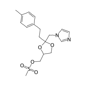 Cc1ccc(CCC2(Cn3ccnc3)OCC(COS(C)(=O)=O)O2)cc1